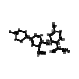 COc1cc(N2CCN(C)CC2)ccc1Nc1cc(Br)cnc1C(N)=O